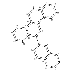 c1ccc2cc(-c3cc4c5ccccc5ccc4c4cccnc34)ccc2c1